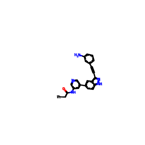 CC(C)CC(=O)Nc1cncc(-c2ccc3[nH]nc(C#Cc4cccc(N)c4)c3c2)c1